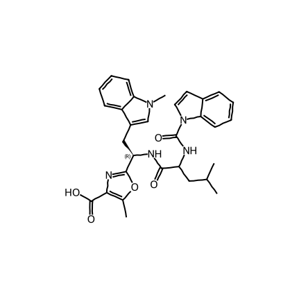 Cc1oc([C@@H](Cc2cn(C)c3ccccc23)NC(=O)C(CC(C)C)NC(=O)n2ccc3ccccc32)nc1C(=O)O